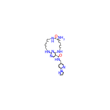 N[C@H]1CCCCNc2nc(ncc2C(=O)NCc2ccc(-n3cccn3)nc2)NCCCCCCNC1=O